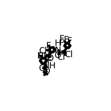 CC(C)(C)OC(=O)Nc1ccc(F)c(NC(=O)c2cc(NC(=O)[C@H]3C(c4ccc(F)c(C(F)(F)F)c4)C3(Cl)Cl)cc(F)c2Cl)c1F